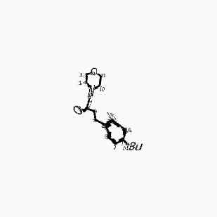 CC(C)(C)c1ccc(CCC(=O)N2CCOCC2)cc1